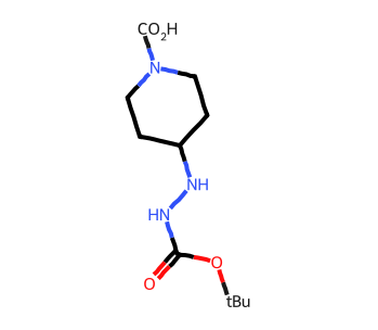 CC(C)(C)OC(=O)NNC1CCN(C(=O)O)CC1